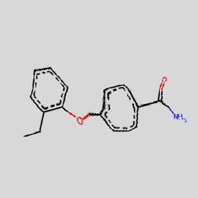 CCc1ccccc1Oc1ccc(C(N)=O)cc1